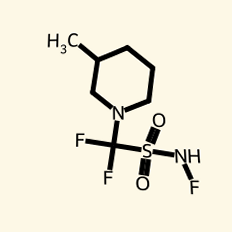 CC1CCCN(C(F)(F)S(=O)(=O)NF)C1